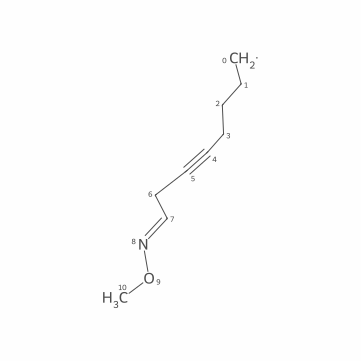 [CH2]CCCC#CCC=NOC